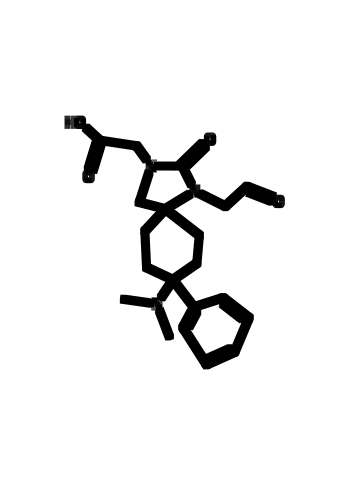 CN(C)C1(c2ccccc2)CCC2(CC1)CN(CC(=O)O)C(=O)N2CC=O